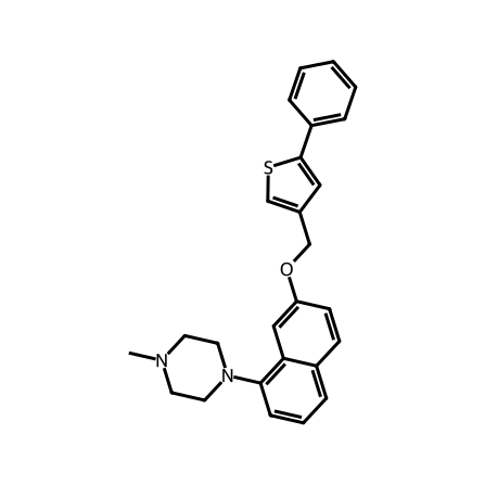 CN1CCN(c2cccc3ccc(OCc4csc(-c5ccccc5)c4)cc23)CC1